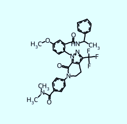 COc1ccc(-n2nc(C(F)(F)F)c3c2C(=O)N(c2ccc(C(=O)N(C)C)cc2)CC3)c(C(=O)NC(C)c2ccccc2)c1